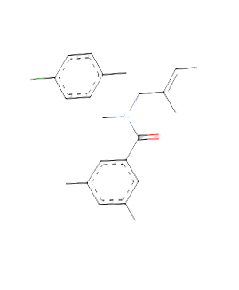 CC(=CC(=O)O)[C@@H](Cc1ccc(Cl)cc1)N(C)C(=O)c1cc(C(F)(F)F)cc(C(F)(F)F)c1